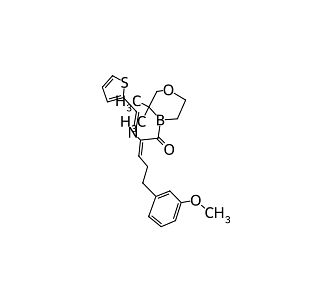 COc1cccc(CC/C=C(/N=C/c2cccs2)C(=O)B2CCOCC2(C)C)c1